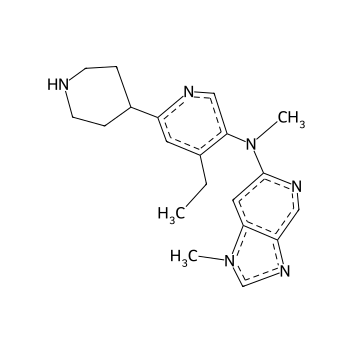 CCc1cc(C2CCNCC2)ncc1N(C)c1cc2c(cn1)ncn2C